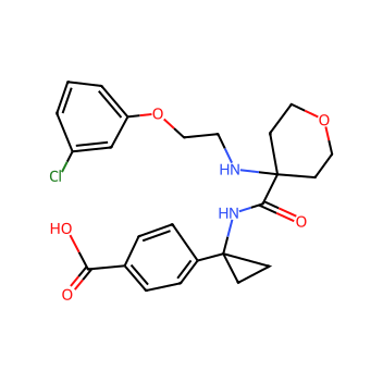 O=C(O)c1ccc(C2(NC(=O)C3(NCCOc4cccc(Cl)c4)CCOCC3)CC2)cc1